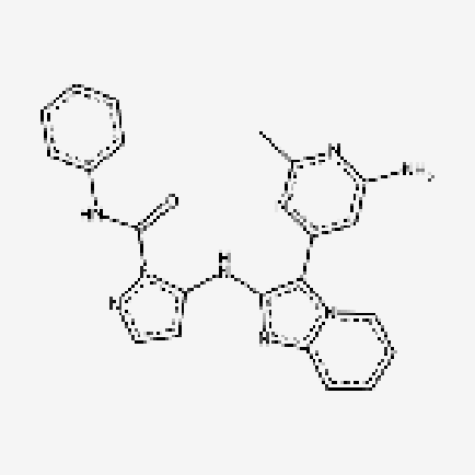 Cc1nc(N)cc(-c2c(Nc3ccnn3C(=O)Nc3ccccc3)nc3ccccn23)n1